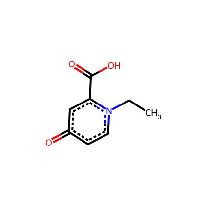 CCn1ccc(=O)cc1C(=O)O